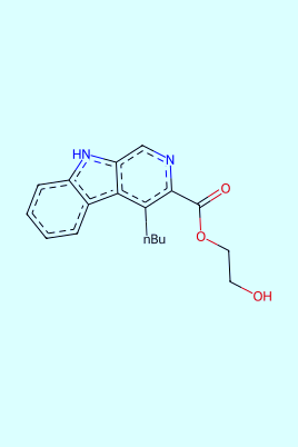 CCCCc1c(C(=O)OCCO)ncc2[nH]c3ccccc3c12